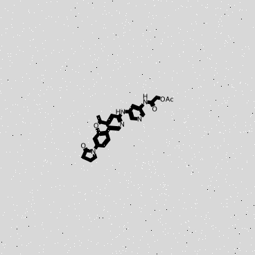 CC(=O)OCC(=O)Nc1cncc(Nc2cc3c(cn2)-c2ccc(N4CCCC4=O)cc2OC3C)c1